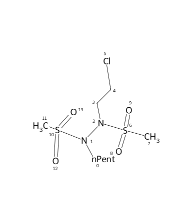 CCCCCN(N(CCCl)S(C)(=O)=O)S(C)(=O)=O